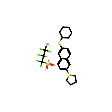 O=S(=O)([O-])C(F)(F)C(F)(F)C(F)(F)C(F)(F)F.c1cc2cc([S+]3CCCC3)ccc2cc1SC1CCCCC1